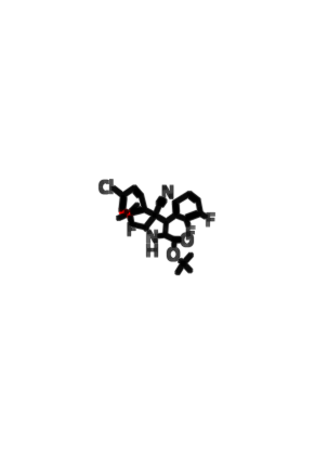 CC(C)(C)CC1NC(C(=O)OC(C)(C)C)C(c2cccc(F)c2F)C1(C#N)c1ccc(Cl)cc1F